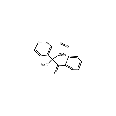 C=O.COC(OC)(C(=O)c1ccccc1)c1ccccc1